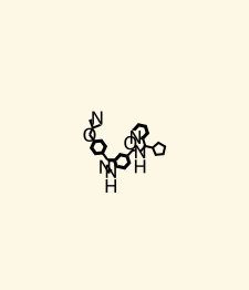 CN1CC(Oc2ccc(-c3n[nH]c4ccc(C(=O)NC(c5ccccn5)C5CCCC5)cc34)cc2)C1